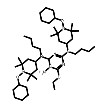 CCCCN(C1=NC(N(CCCC)C2CC(C)(C)N(OC3CCCCC3)C(C)(C)C2)N(N)C(OCC)=N1)C1CC(C)(C)N(OC2CCCCC2)C(C)(C)C1